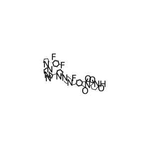 O=C1CCC(N2C(=O)c3cc(F)c(CN4CCN(c5cccc(-c6cnn7ccc(N8CCC[C@@H]8c8ccc(F)cc8F)nc67)n5)CC4)cc3C2=O)C(=O)N1